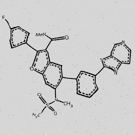 CNC(=O)c1c(-c2ccc(F)cc2)oc2cc(N(C)S(C)(=O)=O)c(-c3cccc(-c4nc5ccncc5s4)c3)cc12